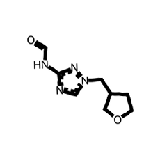 O=CNc1ncn(CC2CCOC2)n1